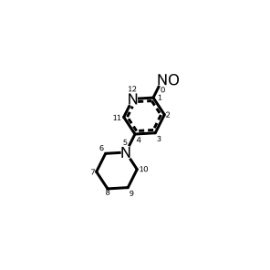 O=Nc1ccc(N2CCCCC2)cn1